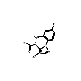 CCC(=O)Nc1c(C#N)cnn1-c1ccc(C(F)(F)F)cc1[N+](=O)[O-]